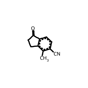 Cc1c(C#N)ccc2c1CCC2=O